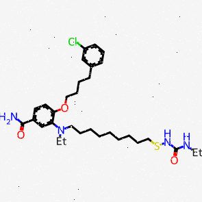 CCNC(=O)NSCCCCCCCCCN(CC)c1cc(C(N)=O)ccc1OCCCCc1cccc(Cl)c1